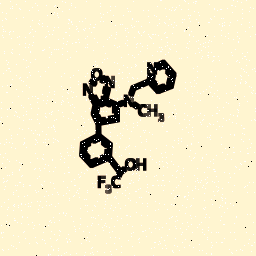 CN(Cc1ccccn1)c1cc(-c2cccc(C(O)C(F)(F)F)c2)cc2nonc12